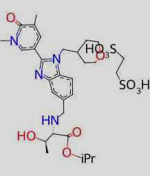 Cc1cc(-c2nc3cc(CN[C@H](C(=O)OC(C)C)[C@@H](C)O)ccc3n2CC2CCOCC2)cn(C)c1=O.O=S(=O)(O)CCS(=O)(=O)O